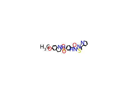 COc1ccc2c(c1)CCC(S(=O)(=O)c1ccc(C(=O)Nc3nc(-c4ccccn4)cs3)cc1)N2